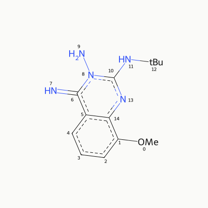 COc1cccc2c(=N)n(N)c(NC(C)(C)C)nc12